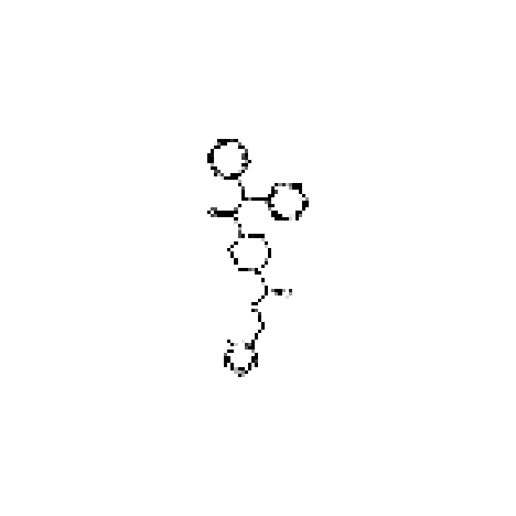 O=C(OCc1cccs1)N1CCN(C(=O)N(c2ccccc2)c2ccccc2)CC1